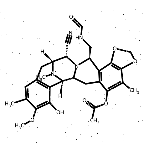 COc1c(C)cc2c(c1O)[C@H]1C3Cc4c(OC(C)=O)c(C)c5c(c4[C@H](CNC=O)N3[C@@H](C#N)[C@@H](C2)N1C)OCO5